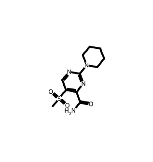 CS(=O)(=O)c1cnc(N2CCCCC2)nc1C(N)=O